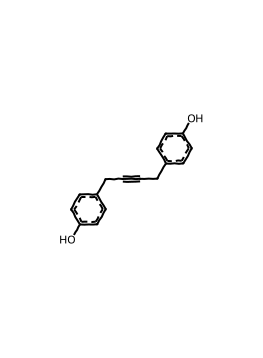 Oc1ccc(CC#CCc2ccc(O)cc2)cc1